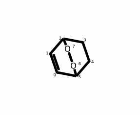 C1=CC2CCC1OO2